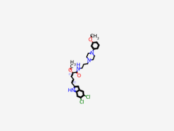 CO/C(=C/C=C/c1cc2cc(Cl)c(Cl)cc2[nH]1)C(=O)NCCCN1CCN(c2cccc(OC)c2)CC1